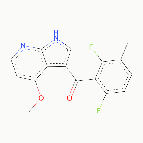 COc1ccnc2[nH]cc(C(=O)c3c(F)ccc(C)c3F)c12